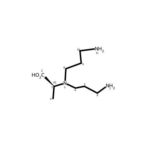 C[C@@H](C(=O)O)N(CCCN)CCCN